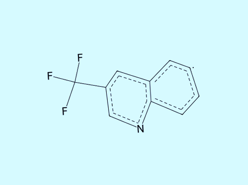 FC(F)(F)c1cnc2cc[c]cc2c1